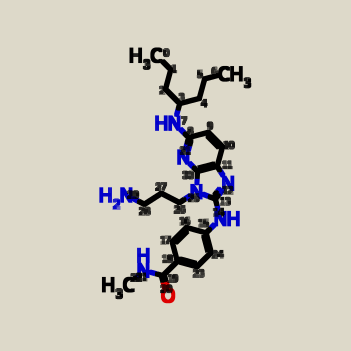 CCCC(CCC)Nc1ccc2nc(Nc3ccc(C(=O)NC)cc3)n(CCCN)c2n1